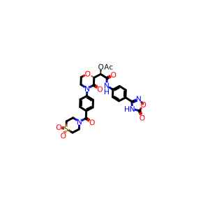 CC(=O)O[C@@H](C(=O)Nc1ccc(-c2noc(=O)[nH]2)cc1)[C@H]1OCCN(c2ccc(C(=O)N3CCS(=O)(=O)CC3)cc2)C1=O